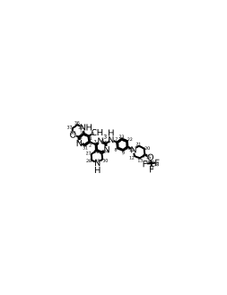 Cc1c(-c2nc(Nc3ccc(N4CCC(OC(F)(F)F)CC4)cc3)nc3c2CCNC3)cnc2c1NCCO2